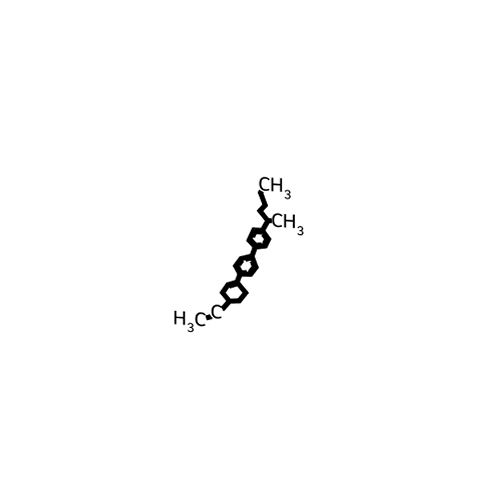 CCCCC1CC=C(c2ccc(-c3ccc(C(C)CCCC)cc3)cc2)CC1